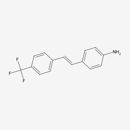 Nc1ccc(C=Cc2ccc(C(F)(F)F)cc2)cc1